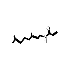 C=CC(=O)NC/C=C(\C)CCC=C(C)C